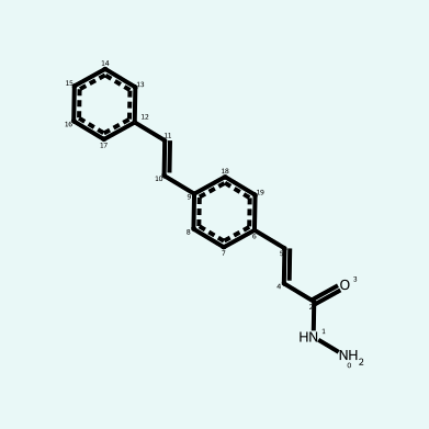 NNC(=O)/C=C/c1ccc(/C=C/c2ccccc2)cc1